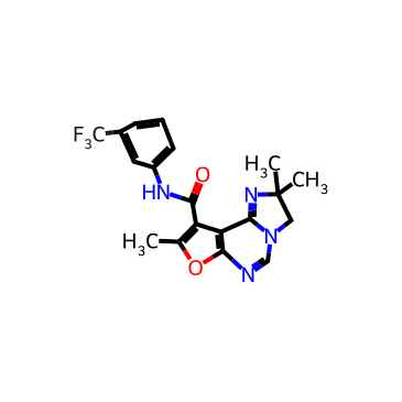 Cc1oc2c(c1C(=O)Nc1cccc(C(F)(F)F)c1)C1=NC(C)(C)CN1C=N2